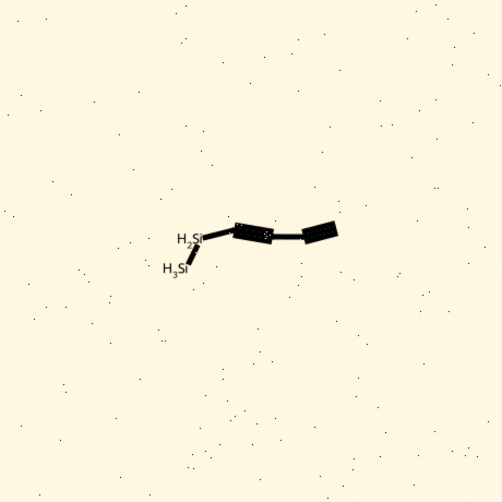 C#CC#C[SiH2][SiH3]